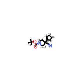 CC(C)(C)OC(=O)N1CCC(C#N)(C2=CCCC2)CC1